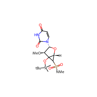 CNS(=O)(=O)C1[C@H]2O[C@@H](n3ccc(=O)[nH]c3=O)[C@H](OC)C12O[Si](C)(C)C(C)(C)C